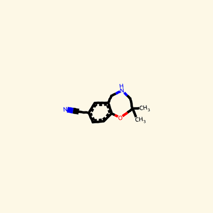 CC1(C)CNCc2cc(C#N)ccc2O1